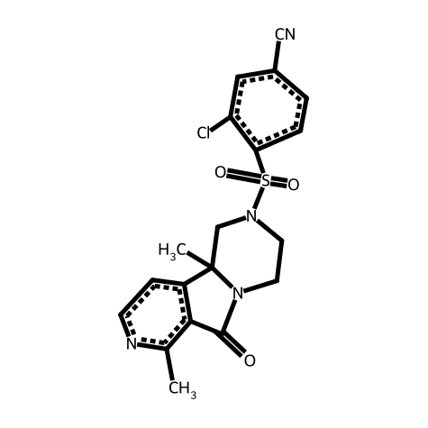 Cc1nccc2c1C(=O)N1CCN(S(=O)(=O)c3ccc(C#N)cc3Cl)CC21C